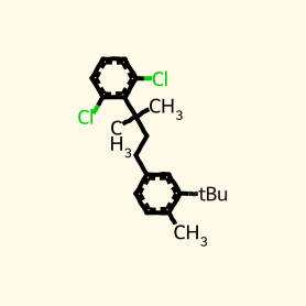 Cc1ccc(CCC(C)(C)c2c(Cl)cccc2Cl)cc1C(C)(C)C